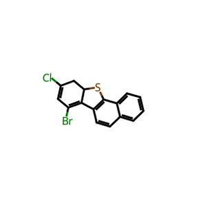 ClC1=CC(Br)=C2c3ccc4ccccc4c3SC2C1